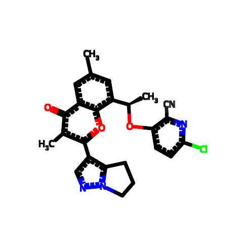 Cc1cc([C@@H](C)Oc2ccc(Cl)nc2C#N)c2oc(-c3cnn4c3CCC4)c(C)c(=O)c2c1